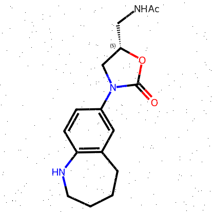 CC(=O)NC[C@H]1CN(c2ccc3c(c2)CCCCN3)C(=O)O1